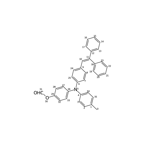 Cc1ccc(N(c2ccc(C=C(c3ccccc3)c3ccccc3)cc2)c2ccc(OC=O)cc2)cc1